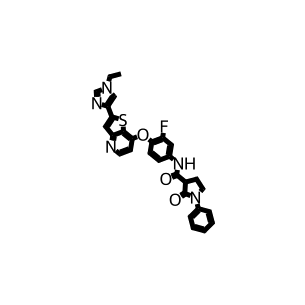 CCn1cnc(-c2cc3nccc(Oc4ccc(NC(=O)C5CCN(c6ccccc6)C5=O)cc4F)c3s2)c1